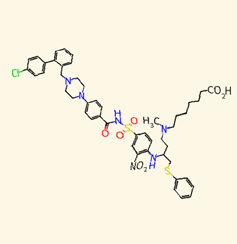 CN(CCCCCCC(=O)O)CCC(CSc1ccccc1)Nc1ccc(S(=O)(=O)NC(=O)c2ccc(N3CCN(Cc4ccccc4-c4ccc(Cl)cc4)CC3)cc2)cc1[N+](=O)[O-]